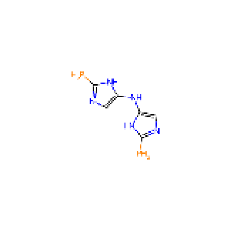 Pc1ncc(Nc2cnc(P)[nH]2)[nH]1